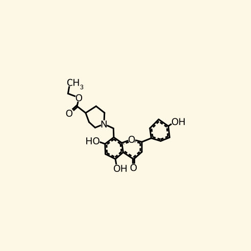 CCOC(=O)C1CCN(Cc2c(O)cc(O)c3c(=O)cc(-c4ccc(O)cc4)oc23)CC1